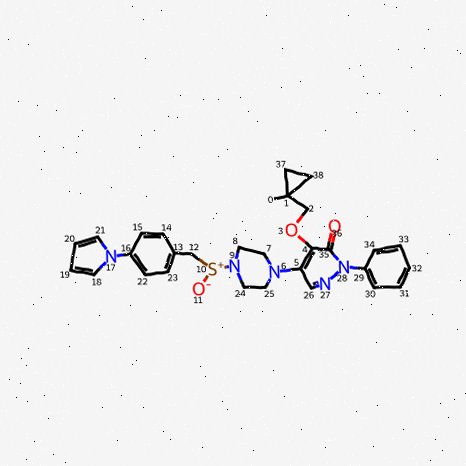 CC1(COc2c(N3CCN([S+]([O-])Cc4ccc(-n5cccc5)cc4)CC3)cnn(-c3ccccc3)c2=O)CC1